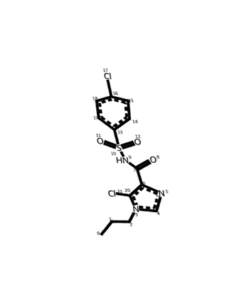 CCCn1cnc(C(=O)NS(=O)(=O)c2ccc(Cl)cc2)c1Cl